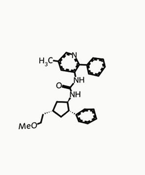 COCC[C@@H]1C[C@@H](NC(=O)Nc2cc(C)cnc2-c2ccccc2)[C@H](c2ccccc2)C1